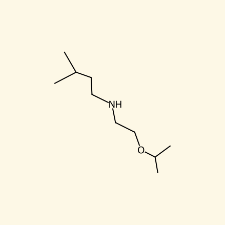 CC(C)CCNCCOC(C)C